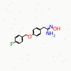 N/C(Cc1ccc(OCc2ccc(F)cc2)cc1)=N\O